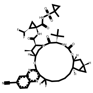 C[C@@H]1[C@@H]2CN(C(=O)[C@H](C(C)(C)C)NC(=O)O[C@@H]3C[C@@H]4CC4[C@H]3CCCCC(F)(F)c3nc4ccc(C#N)cc4nc3O2)[C@@H]1C(=O)N[C@]1(C(=O)NS(=O)(=O)C2(C)CC2)C[C@H]1C(F)F